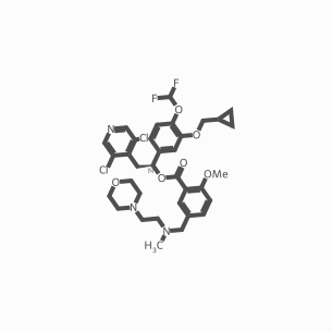 COc1ccc(CN(C)CCN2CCOCC2)cc1C(=O)O[C@@H](Cc1c(Cl)cncc1Cl)c1ccc(OC(F)F)c(OCC2CC2)c1